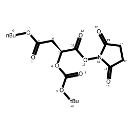 CCCCOC(=O)C[C@H](OC(=O)OC(C)(C)C)C(=O)ON1C(=O)CCC1=O